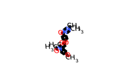 COc1ccc2c(c1)c(CC(=O)Oc1ccc(C(=O)N3CCN(C(C)C)CC3)cc1)c(C)n2C(C)=O